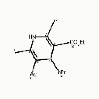 CCCC1C(C(C)=O)=C(C)NC(C)=C1C(=O)OCC